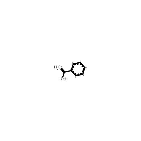 C=C(O)c1ccccc1